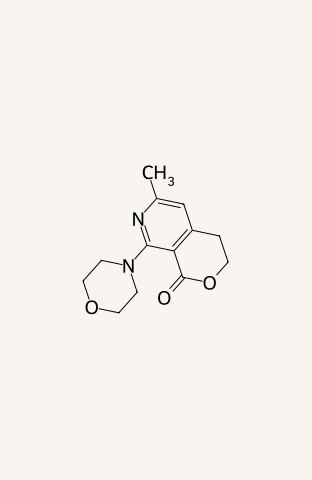 Cc1cc2c(c(N3CCOCC3)n1)C(=O)OCC2